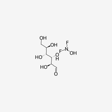 O=C[C@@H](O)[C@@H](O)[C@H](O)[C@H](O)CO.ON(F)F